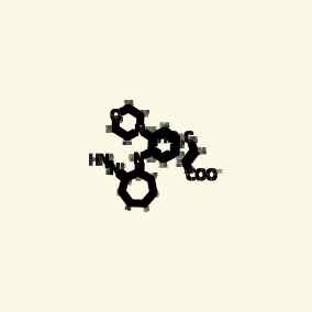 N=[N+]=C1CCCCCC1=Nc1ccccc1N1CCOCC1.O=C([O-])C=CC(=O)O